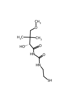 COCC(C)(C)[C@@H](O)C(=O)NC(=O)NCCS